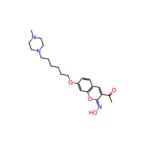 CC(=O)c1cc2ccc(OCCCCCCN3CCN(C)CC3)cc2oc1=NO